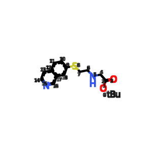 CC(C)(C)OC(=O)CNCCSc1ccc2ccncc2c1